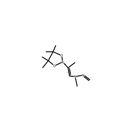 C=NN(C)/C=C(\C)B1OC(C)(C)C(C)(C)O1